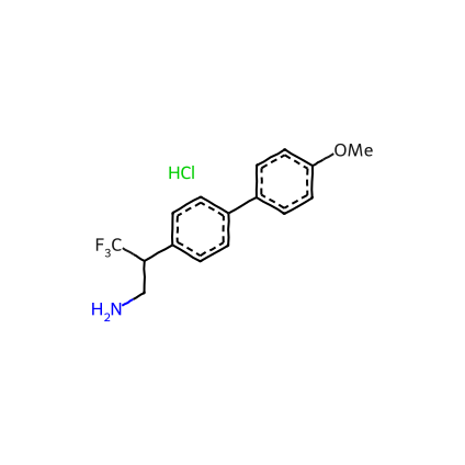 COc1ccc(-c2ccc(C(CN)C(F)(F)F)cc2)cc1.Cl